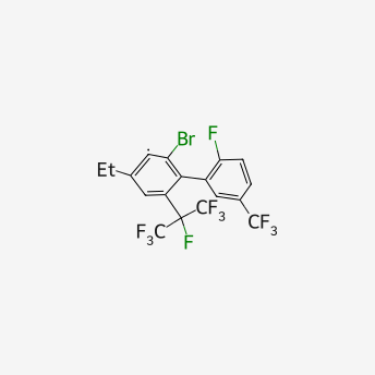 CCc1[c]c(Br)c(-c2cc(C(F)(F)F)ccc2F)c(C(F)(C(F)(F)F)C(F)(F)F)c1